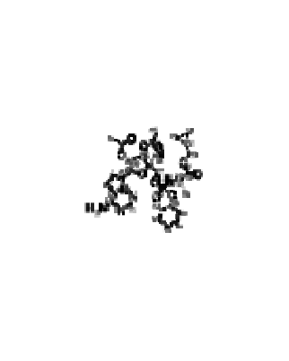 CC(=O)O[C@H]1[C@H](c2ccc3c(N)ncnn23)O[C@](C#N)(CO[P@](=O)(N[C@@H](C)C(=O)OCC2CC2)Oc2ccccc2)[C@H]1OC(C)=O